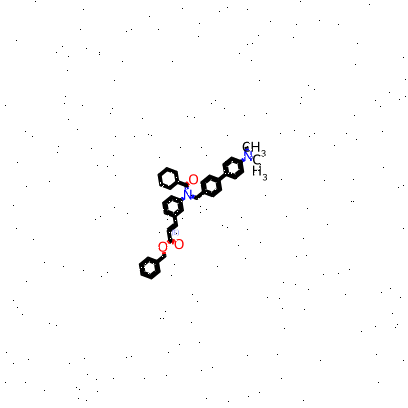 CN(C)c1ccc(-c2ccc(CN(C(=O)C3CCCCC3)c3cccc(/C=C/C(=O)OCc4ccccc4)c3)cc2)cc1